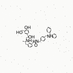 C[C@H](Cc1cccc(CC(=O)NCc2ccc(CNC(c3ccccc3)c3ccccc3)cc2)c1)NC[C@H](O)c1ccc(O)c(CO)c1